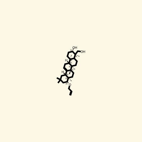 C=CCO[C@@H]1CC(C)(C)C[C@@H]2C3=CC[C@@H]4[C@@]5(C)CC[C@H](O)[C@@](C)(CO)C5CC[C@@]4(C)[C@]3(C)CC[C@]21C